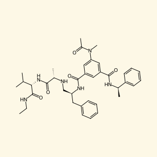 CCNC(=O)[C@@H](NC(=O)[C@H](C)NC[C@H](Cc1ccccc1)NC(=O)c1cc(C(=O)N[C@H](C)c2ccccc2)cc(N(C)C(C)=O)c1)C(C)C